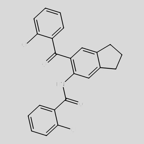 O=C(Nc1cc2c(cc1C(=O)c1ccccc1Cl)CCC2)c1ccccc1Cl